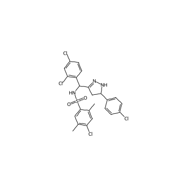 Cc1cc(S(=O)(=O)NC(C2=NNC(c3ccc(Cl)cc3)C2)c2ccc(Cl)cc2Cl)c(C)cc1Cl